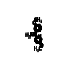 COc1ccc(C(N)c2cccc(OC)c2)nc1